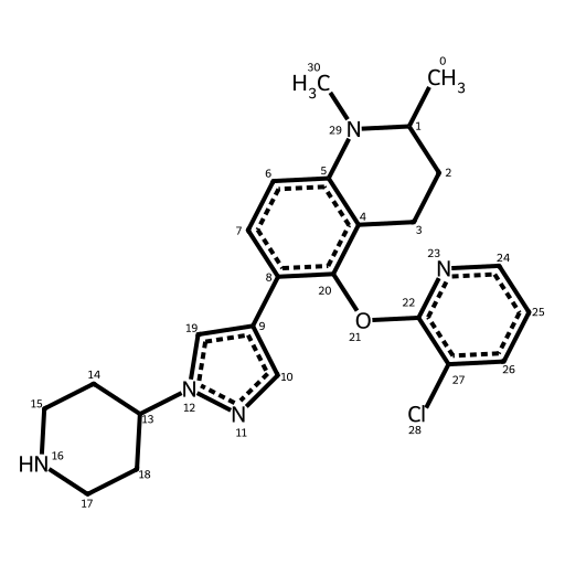 CC1CCc2c(ccc(-c3cnn(C4CCNCC4)c3)c2Oc2ncccc2Cl)N1C